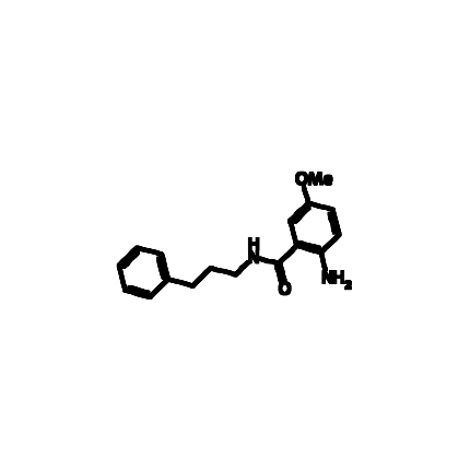 COc1ccc(N)c(C(=O)NCCCc2ccccc2)c1